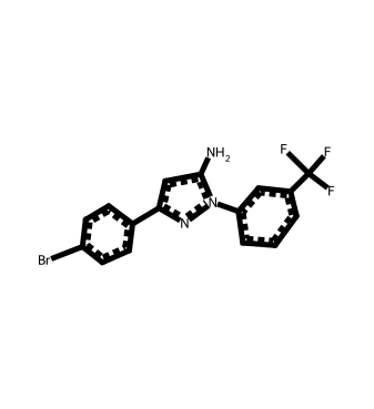 Nc1cc(-c2ccc(Br)cc2)nn1-c1cccc(C(F)(F)F)c1